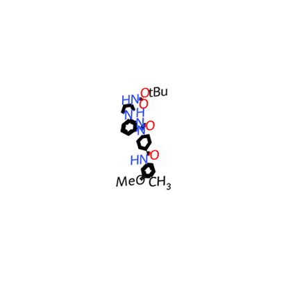 COc1cc(NC(=O)[C@H]2CC[C@@H](n3c(=O)[nH]c4c(N5CCC(NC(=O)OC(C)(C)C)C5)cccc43)CC2)ccc1C